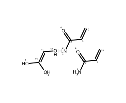 C=CC(N)=O.C=CC(N)=O.OC=C(O)O